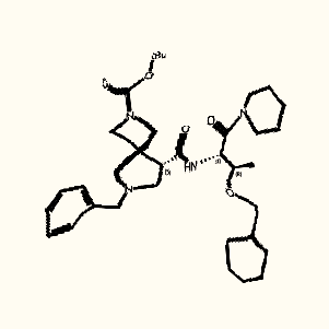 C[C@@H](OCC1CCCCC1)[C@H](NC(=O)[C@@H]1CN(Cc2ccccc2)CC12CN(C(=O)OC(C)(C)C)C2)C(=O)N1CCCCC1